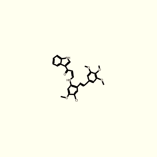 COc1cc(N/C=C\C(=O)c2c[nH]c3ccccc23)c(C=Cc2cc(OC)c(OC)c(OC)c2)cc1Cl